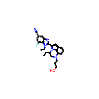 CCC1CN(CCCO)c2cccc3cc(-c4nc5cc(C#N)cc(F)c5n4CC)n1c23